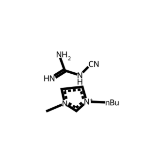 CCCC[n+]1ccn(C)c1.N#CNC(=N)N